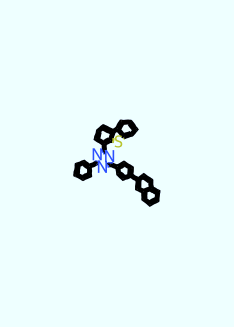 c1ccc(-c2nc(-c3ccc(-c4ccc5ccccc5c4)cc3)nc(-c3cccc4c3sc3ccccc34)n2)cc1